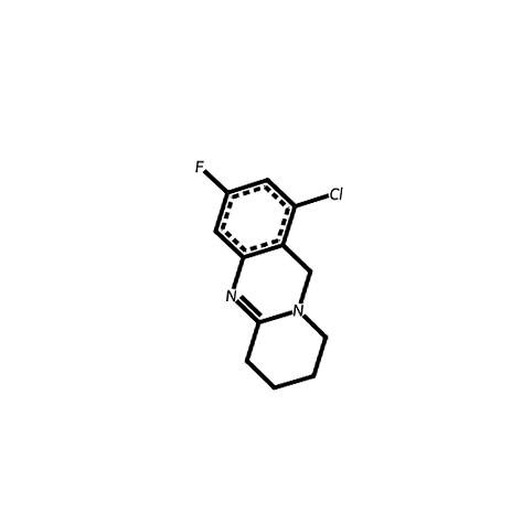 Fc1cc(Cl)c2c(c1)N=C1CCCCN1C2